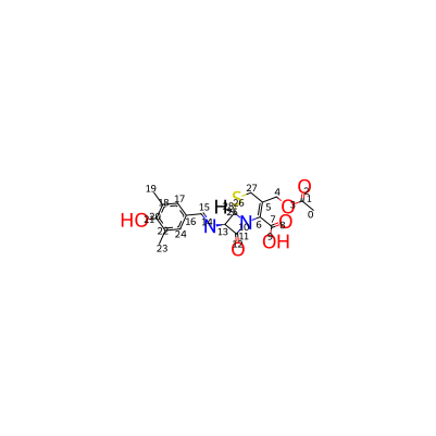 CC(=O)OCC1=C(C(=O)O)N2C(=O)[C@@H](N=Cc3cc(C)c(O)c(C)c3)[C@@H]2SC1